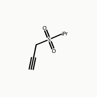 C#CCS(=O)(=O)C(C)C